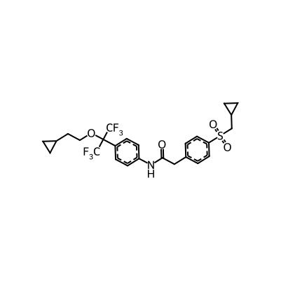 O=C(Cc1ccc(S(=O)(=O)CC2CC2)cc1)Nc1ccc(C(OCCC2CC2)(C(F)(F)F)C(F)(F)F)cc1